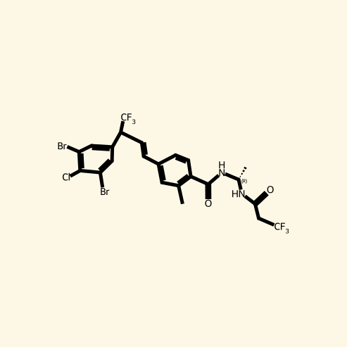 Cc1cc(C=CC(c2cc(Br)c(Cl)c(Br)c2)C(F)(F)F)ccc1C(=O)N[C@H](C)NC(=O)CC(F)(F)F